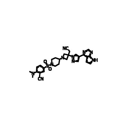 CN(C)c1ccc(S(=O)(=O)N2CCC(N3CC(CC#N)(n4cc(-c5ncnc6[nH]ccc56)cn4)C3)CC2)cc1C#N